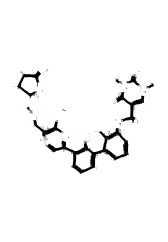 COc1nc(-c2cccc(-c3cccc(NC(=O)c4cn(C)c(=O)n(C)c4=O)c3C)c2Cl)cnc1CNC[C@@H]1CCC(=O)N1